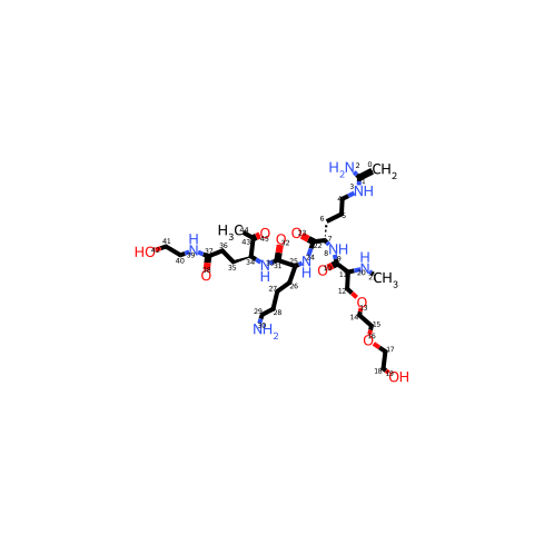 C=C(N)NCCC[C@H](NC(=O)C(COCCOCCO)NC)C(=O)NC(CCCCN)C(=O)N[C@@H](CCC(=O)NCCO)C(C)=O